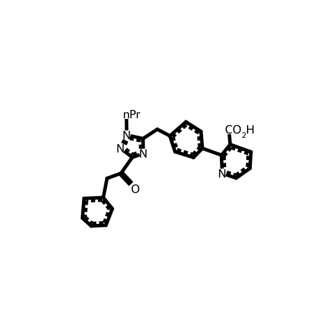 CCCn1nc(C(=O)Cc2ccccc2)nc1Cc1ccc(-c2ncccc2C(=O)O)cc1